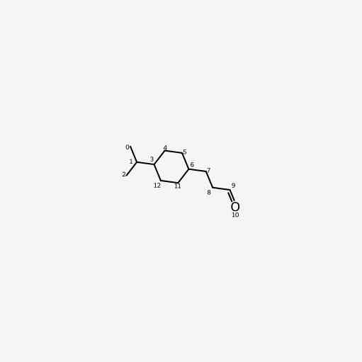 CC(C)C1CCC(CCC=O)CC1